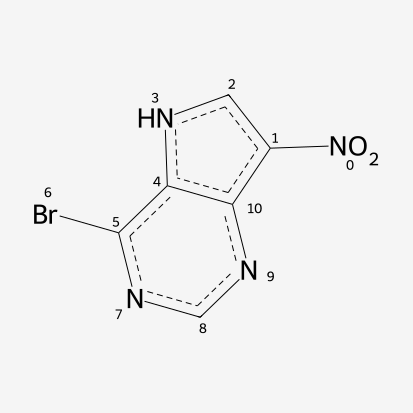 O=[N+]([O-])c1c[nH]c2c(Br)ncnc12